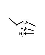 CN.CN.CN.C[CH]C